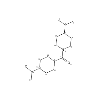 CC(C)C1CCN(C(=O)C2CCN(C(C)C)CC2)CC1